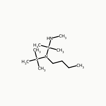 CCCCN(S(C)(C)C)S(C)(C)NC